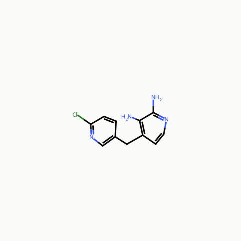 Nc1nccc(Cc2ccc(Cl)nc2)c1N